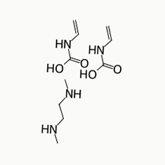 C=CNC(=O)O.C=CNC(=O)O.CNCCNC